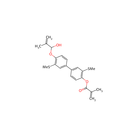 C=C(C)C(=O)Oc1ccc(-c2ccc(OC(O)C(=C)C)c(SC)c2)cc1SC